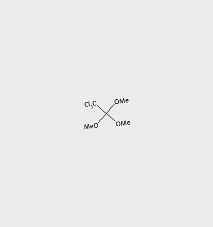 COC(OC)(OC)C(Cl)(Cl)Cl